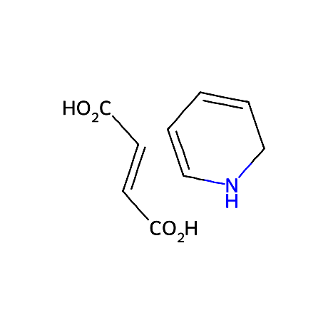 C1=CCNC=C1.O=C(O)/C=C/C(=O)O